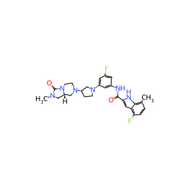 Cc1ccc(F)c2cc(C(=O)Nc3cc(F)cc(N4CC[C@@H](N5CCN6C(=O)N(C)C[C@H]6C5)C4)c3)[nH]c12